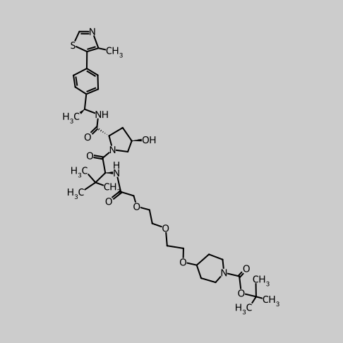 Cc1ncsc1-c1ccc([C@H](C)NC(=O)[C@@H]2C[C@@H](O)CN2C(=O)[C@@H](NC(=O)COCCOCCOC2CCN(C(=O)OC(C)(C)C)CC2)C(C)(C)C)cc1